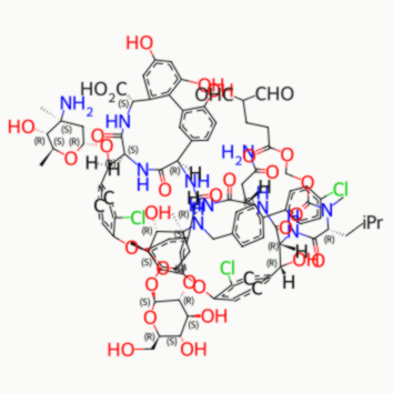 CC(C)C[C@H](C(=O)N[C@H]1C(=O)N[C@@H](CC(N)=O)C(=O)N[C@H]2C(=O)N[C@H]3C(=O)N[C@H](C(=O)N[C@H](C(=O)O)c4cc(O)cc(O)c4-c4cc3ccc4O)[C@H](O[C@H]3C[C@](C)(N)[C@@H](O)[C@H](C)O3)c3ccc(c(Cl)c3)Oc3cc2cc(c3O[C@@H]2O[C@H](CO)[C@@H](O)[C@H](O)[C@H]2O[C@H]2C[C@](C)(NCc3ccc(-c4ccc(Cl)cc4)cc3)[C@@H](O)[C@H](C)O2)Oc2ccc(cc2Cl)[C@H]1O)N(C)C(=O)OCOC(=O)CCC(C=O)C=O